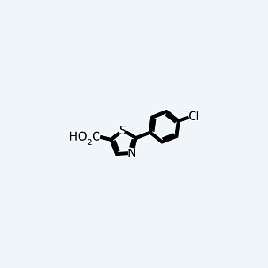 O=C(O)c1cnc(-c2ccc(Cl)cc2)s1